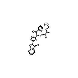 CN(CCO)C(=O)CCN(C(=O)c1cccs1)c1nc(C2Oc3ccccc3C2=O)cs1